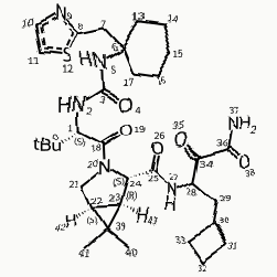 CC(C)(C)[C@H](NC(=O)NC1(Cc2nccs2)CCCCC1)C(=O)N1C[C@H]2[C@@H]([C@H]1C(=O)NC(CC1CCC1)C(=O)C(N)=O)C2(C)C